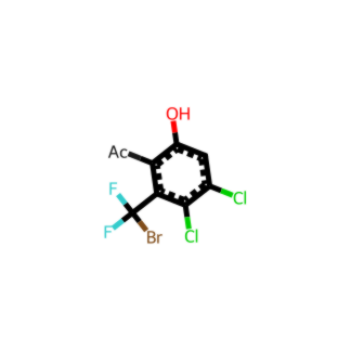 CC(=O)c1c(O)cc(Cl)c(Cl)c1C(F)(F)Br